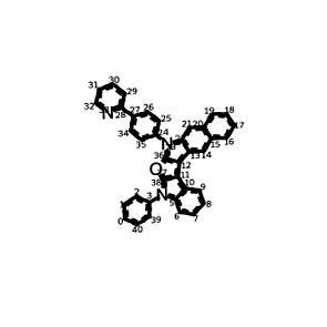 c1ccc(-n2c3ccccc3c3c4c5cc6ccccc6cc5n(-c5ccc(-c6ccccn6)cc5)c4oc32)cc1